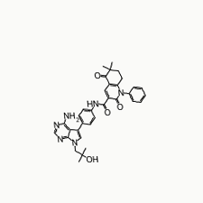 CC(C)(O)Cn1cc(-c2ccc(NC(=O)c3cc4c(n(-c5ccccc5)c3=O)CCC(C)(C)C4=O)cc2)c2c(N)ncnc21